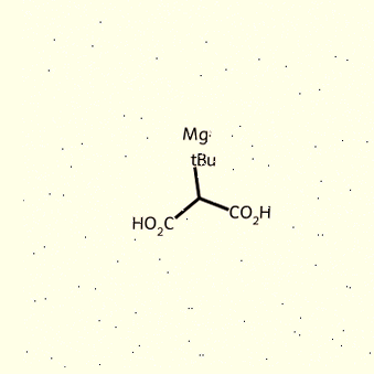 CC(C)(C)C(C(=O)O)C(=O)O.[Mg]